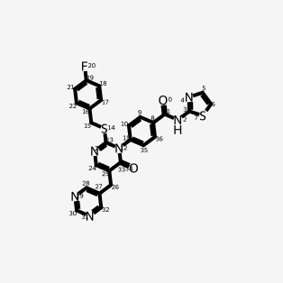 O=C(Nc1nccs1)c1ccc(-n2c(SCc3ccc(F)cc3)ncc(Cc3cncnc3)c2=O)cc1